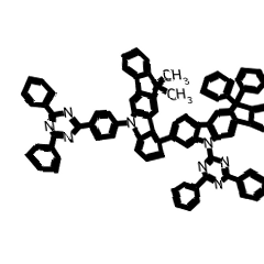 CC1(C)c2ccccc2-c2cc3c(cc21)c1c(-c2ccc4c5cc6c(cc5n(-c5nc(-c7ccccc7)nc(-c7ccccc7)n5)c4c2)-c2ccccc2C6(c2ccccc2)c2ccccc2)cccc1n3-c1ccc(-c2nc(-c3ccccc3)nc(-c3ccccc3)n2)cc1